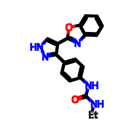 CCNC(=O)Nc1ccc(-c2n[nH]cc2-c2nc3ccccc3o2)cc1